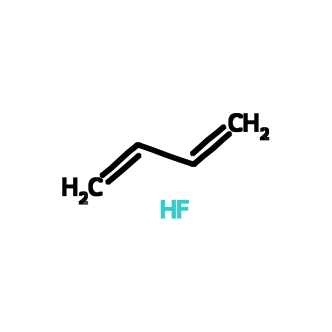 C=CC=C.F